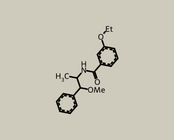 CCOc1cccc(C(=O)NC(C)C(OC)c2ccccc2)c1